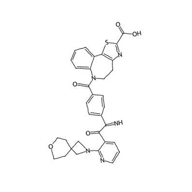 N=C(C(=O)c1cccnc1N1CC2(CCOCC2)C1)c1ccc(C(=O)N2CCc3nc(C(=O)O)sc3-c3ccccc32)cc1